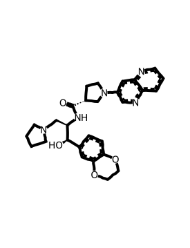 O=C(N[C@H](CN1CCCC1)[C@H](O)c1ccc2c(c1)OCCO2)[C@@H]1CCN(c2cnc3cccnc3c2)C1